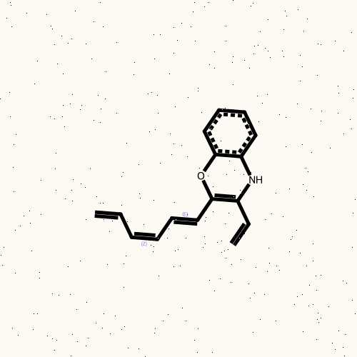 C=C/C=C\C=C\C1=C(C=C)Nc2ccccc2O1